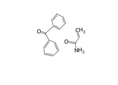 C=CC(N)=O.O=C(c1ccccc1)c1ccccc1